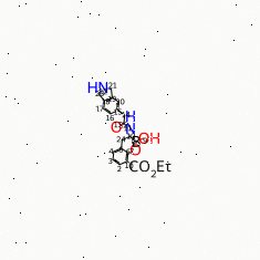 CCOC(=O)c1cccc2c1OB(O)[C@@H](NC(=O)Cc1ccc3c(c1)CNC3)C2